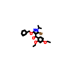 CCOc1ccc(C(=O)c2c(OCc3ccccc3)nn(C(C)C)c2Br)c(OCC)c1